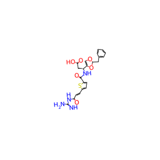 N=C(N)NC(=O)C=Cc1ccc(C(=O)N[C@@H](CC(=O)O)C2=COC(Cc3ccccc3)O2)s1